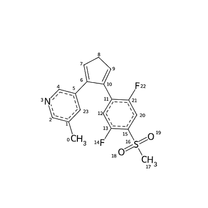 Cc1cncc(C2=CCC=C2c2cc(F)c(S(C)(=O)=O)cc2F)c1